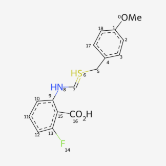 COc1ccc(C[SH]=CNc2cccc(F)c2C(=O)O)cc1